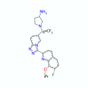 CC(C)Oc1c(F)ccc2ccc(-c3nnc4ccc([C@@H](N5CCC(N)C5)C(F)(F)F)cn34)nc12